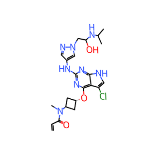 C=CC(=O)N(C)[C@H]1C[C@H](Oc2nc(Nc3cnn(CC(O)NC(C)C)c3)nc3[nH]cc(Cl)c23)C1